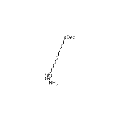 CCCCCCCCCCCCCCCCCCCCCCCCCCCCOS(=O)(=O)CCN